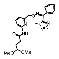 COC(CCC(=O)Nc1cccc(CO/N=C(/c2ccccc2)c2nnnn2C)n1)OC